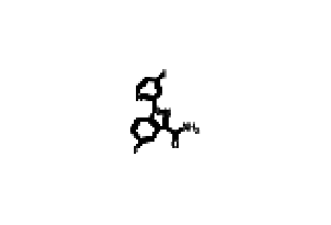 NC(=O)c1nn(-c2cc(I)ccn2)c2ccc(F)cc12